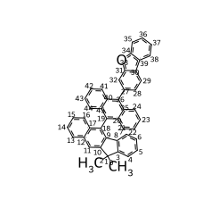 CC1(C)c2ccccc2-c2c1cc1ccccc1c2-c1c2ccccc2c(-c2ccc3c(c2)oc2ccccc23)c2ccccc12